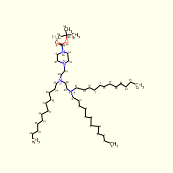 CCCCCCCCCCCCN(CCCCCCCCCCCC)CCN(CCCCCCCCCCCC)CCN1CCN(C(=O)OC(C)(C)C)CC1